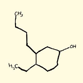 CCCCC1CC(O)CCC1CC